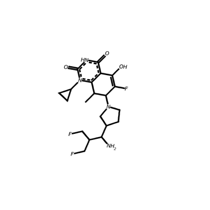 CC1c2c(c(=O)[nH]c(=O)n2C2CC2)C(O)=C(F)C1N1CCC(C(N)C(CF)CF)C1